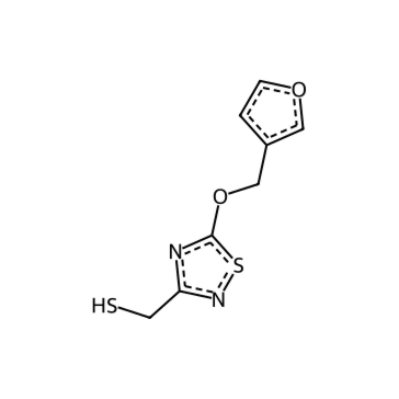 SCc1nsc(OCc2ccoc2)n1